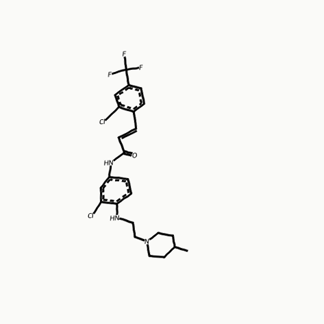 CC1CCN(CCNc2ccc(NC(=O)/C=C/c3ccc(C(F)(F)F)cc3Cl)cc2Cl)CC1